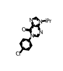 CC(C)n1cnc2c(=O)n(-c3ccc(Cl)cc3)cnc21